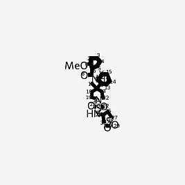 COc1ccccc1C(=O)NCC1(c2ccccc2)CCN(S(=O)(=O)NC2CCS(=O)(=O)C2)CC1